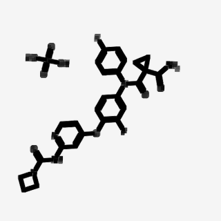 NC(=O)C1(C(=O)N(c2ccc(F)cc2)c2ccc(Oc3ccnc(NC(=O)N4CCC4)c3)c(F)c2)CC1.O=S(=O)(O)O